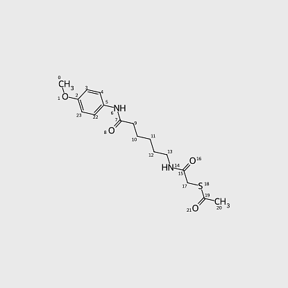 COc1ccc(NC(=O)CCCCCNC(=O)CSC(C)=O)cc1